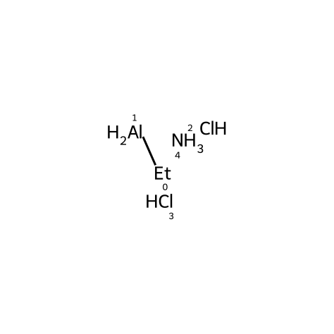 C[CH2][AlH2].Cl.Cl.N